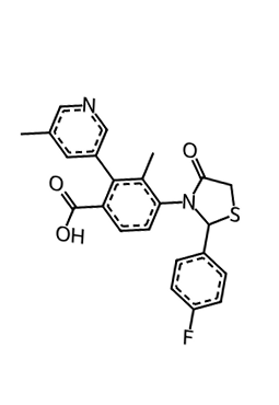 Cc1cncc(-c2c(C(=O)O)ccc(N3C(=O)CSC3c3ccc(F)cc3)c2C)c1